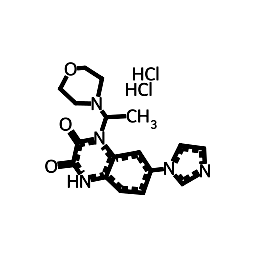 CC(N1CCOCC1)n1c(=O)c(=O)[nH]c2ccc(-n3ccnc3)cc21.Cl.Cl